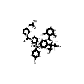 O=C(O)C[C@H]1CCN(C(=O)N2CC[C@](c3ccc(C(OCc4c(F)cccc4F)(C(F)(F)F)C(F)(F)F)cc3)(S(=O)(=O)c3ccc(F)cc3)C2)C1